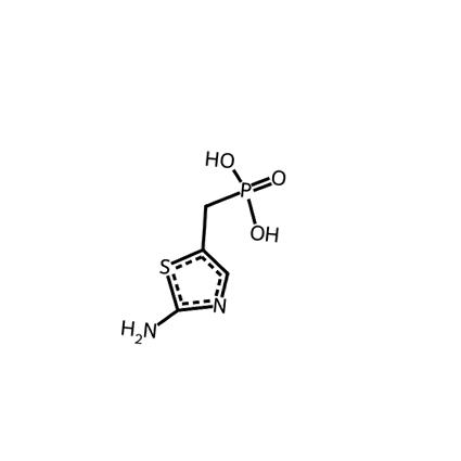 Nc1ncc(CP(=O)(O)O)s1